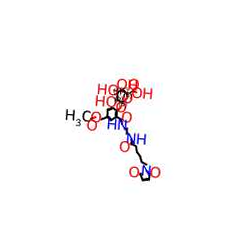 CC(=O)OCc1ccc(O[C@@H]2O[C@H](C(=O)O)[C@@H](O)[C@H](O)[C@H]2O)c(C(=O)NCCNC(=O)CCCCCN2C(=O)C=CC2=O)c1